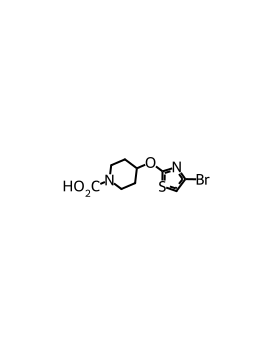 O=C(O)N1CCC(Oc2nc(Br)cs2)CC1